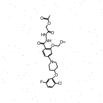 COCOc1cc(N2CCC(Oc3cc(F)ccc3Cl)CC2)ccc1C(=O)NNC(=O)COC(C)=O